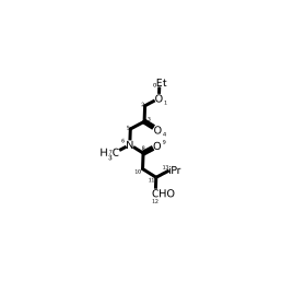 CCOCC(=O)CN(C)C(=O)CC(C=O)C(C)C